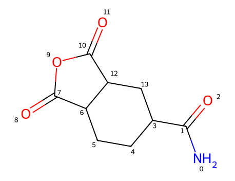 NC(=O)C1CCC2C(=O)OC(=O)C2C1